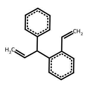 C=Cc1ccccc1C(C=C)c1ccccc1